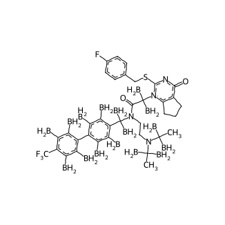 Bc1c(B)c(C(F)(F)F)c(B)c(B)c1-c1c(B)c(B)c(C(B)(B)N(CCN(C(B)(B)C)C(B)(B)C)C(=O)C(B)(B)n2c(SCc3ccc(F)cc3)nc(=O)c3c2CCC3)c(B)c1B